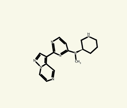 CN(c1ccnc(-c2cnn3ccncc23)n1)[C@@H]1CCCNC1